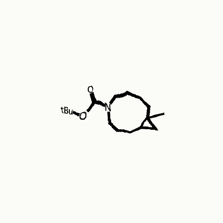 CC(C)(C)OC(=O)N1CCCCC2(C)CC2CCC1